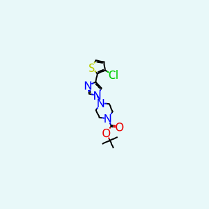 CC(C)(C)OC(=O)N1CCN(n2cnc(-c3sccc3Cl)c2)CC1